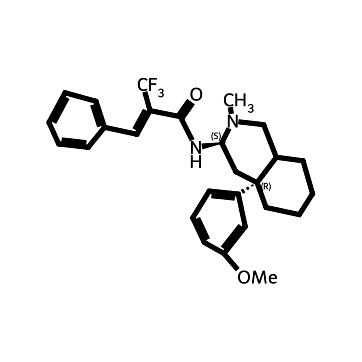 COc1cccc([C@@]23CCCCC2CN(C)[C@H](NC(=O)C(=Cc2ccccc2)C(F)(F)F)C3)c1